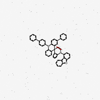 c1ccc(-c2ccc(N3c4ccccc4C4(c5cc(-c6ccccc6)ccc53)c3ccccc3N(c3cccc5oc6ccccc6c35)c3ccccc34)cc2)cc1